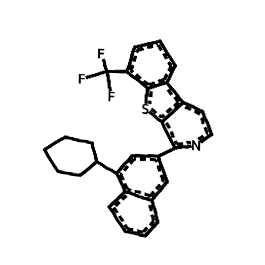 FC(F)(F)c1cccc2c1sc1c(-c3cc(C4CCCCC4)c4ccccc4c3)nccc12